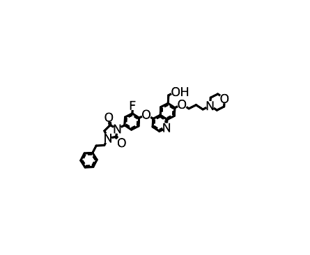 O=C1CN(CCc2ccccc2)C(=O)N1c1ccc(Oc2ccnc3cc(OCCCN4CCOCC4)c(CO)cc23)c(F)c1